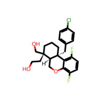 OCC[C@@]1(CO)CCC[C@@]2(Cc3ccc(Cl)cc3)c3c(F)ccc(F)c3OC[C@@H]12